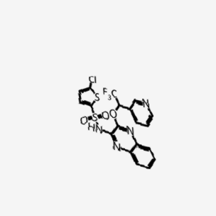 O=S(=O)(Nc1nc2ccccc2nc1OC(c1cccnc1)C(F)(F)F)c1ccc(Cl)s1